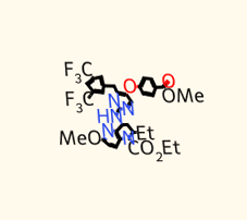 CCOC(=O)N1c2ccc(OC)nc2C(Nc2ncc(Oc3ccc(C(=O)OC)cc3)c(Cc3cc(C(F)(F)F)cc(C(F)(F)F)c3)n2)CC1CC